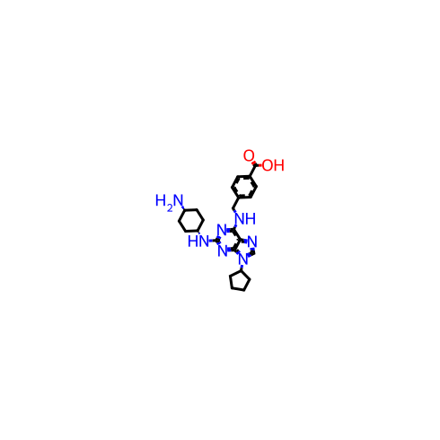 N[C@H]1CC[C@H](Nc2nc(NCc3ccc(C(=O)O)cc3)c3ncn(C4CCCC4)c3n2)CC1